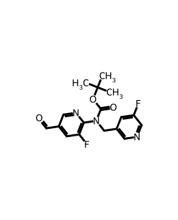 CC(C)(C)OC(=O)N(Cc1cncc(F)c1)c1ncc(C=O)cc1F